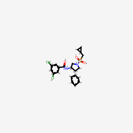 O=C(N[C@H]1CN(S(=O)(=O)CC2CC2)C[C@@H]1c1ccccc1)c1cc(Cl)cc(Cl)c1